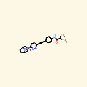 CC(C)C(=O)Nc1ccc(C#Cc2ccc(N3CC4CCC(C3)N4C)nn2)cc1